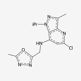 Cc1nnc(CNc2cc(Cl)nc3c(C)nn(C(C)C)c23)o1